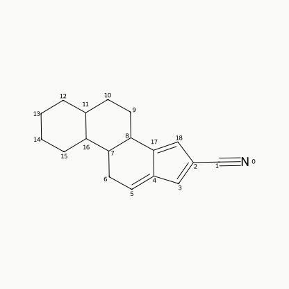 N#CC1=CC2=CCC3C(CCC4CCCCC43)C2=C1